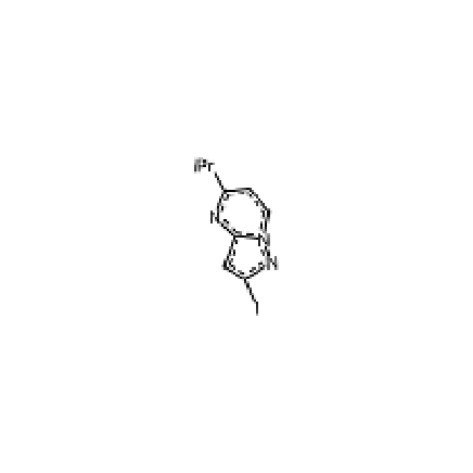 CC(C)c1ccn2nc(I)cc2n1